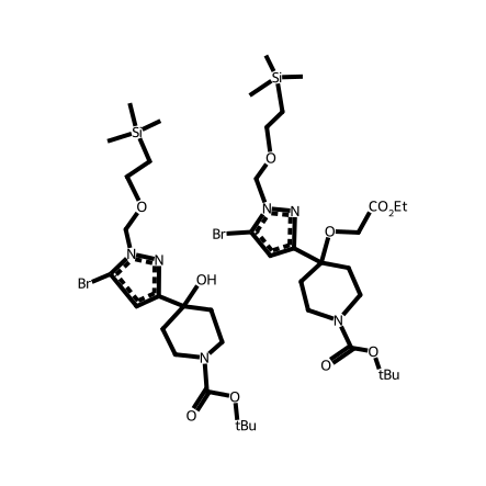 CC(C)(C)OC(=O)N1CCC(O)(c2cc(Br)n(COCC[Si](C)(C)C)n2)CC1.CCOC(=O)COC1(c2cc(Br)n(COCC[Si](C)(C)C)n2)CCN(C(=O)OC(C)(C)C)CC1